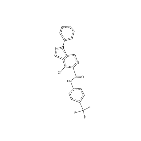 O=C(Nc1ccc(C(F)(F)F)cc1)c1ncc2c(cnn2-c2ccccc2)c1Cl